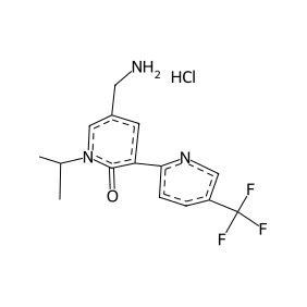 CC(C)n1cc(CN)cc(-c2ccc(C(F)(F)F)cn2)c1=O.Cl